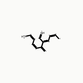 C=C(/C=C\C=C/N)/C(C=N)=C/C=C\C